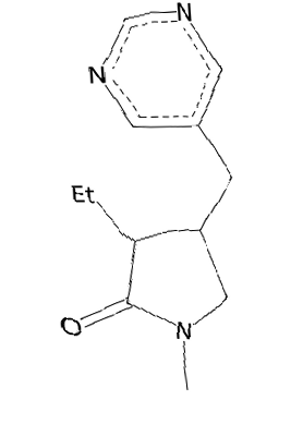 CCC1C(=O)N(C)CC1Cc1cncnc1